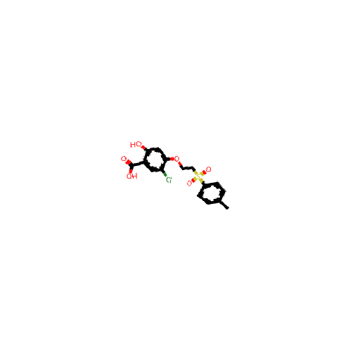 Cc1ccc(S(=O)(=O)CCOc2cc(O)c(C(=O)O)cc2Cl)cc1